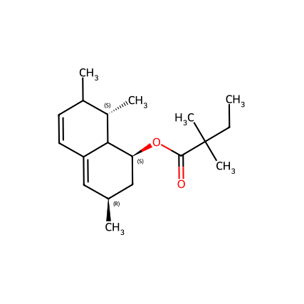 CCC(C)(C)C(=O)O[C@H]1C[C@@H](C)C=C2C=CC(C)[C@H](C)C21